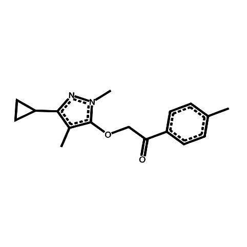 Cc1ccc(C(=O)COc2c(C)c(C3CC3)nn2C)cc1